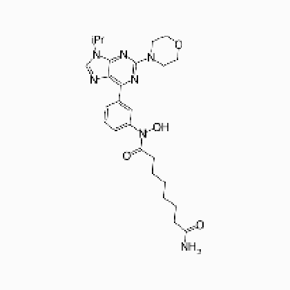 CC(C)n1cnc2c(-c3cccc(N(O)C(=O)CCCCCCC(N)=O)c3)nc(N3CCOCC3)nc21